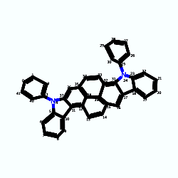 c1ccc(-n2c3ccccc3c3c4ccc5cc6c7ccccc7n(-c7ccccc7)c6c6ccc(cc32)c4c56)cc1